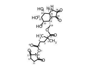 CC(C)(CCC(=O)ON1C(=O)CCC1=O)C(=O)OC[C@@H]1[C@@H](O)[C@H](O)[C@H](O)[C@H]2NC(=O)C(=O)N12